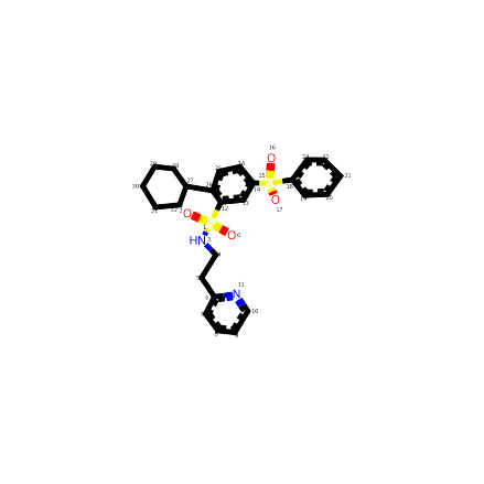 O=S(=O)(NCCc1ccccn1)c1cc(S(=O)(=O)c2ccccc2)ccc1C1CCCCC1